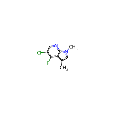 Cc1cn(C)c2ncc(Cl)c(F)c12